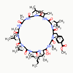 C/C=C/C[C@@H](C)[C@@H](O)[C@H]1C(=O)N[C@@H](CC)C(=O)N(C)C(Cc2ccc(C(=O)OC)cc2)C(=O)N(C)[C@@H](CC(C)C)C(=O)NC(C(C)C)C(=O)N(C)[C@@H](CC(C)C)C(=O)N[C@@H](C)C(=O)N[C@H](C)C(=O)N(C)[C@@H](CC(C)C)C(=O)N(C)[C@@H](CC(C)C)C(=O)N(C)[C@@H](C(C)C)C(=O)N1C